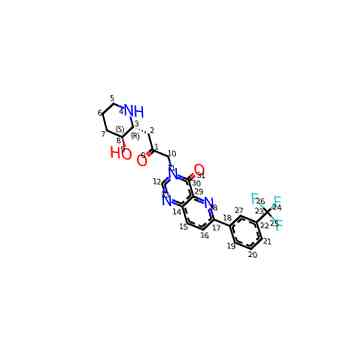 O=C(C[C@H]1NCCC[C@@H]1O)Cn1cnc2ccc(-c3cccc(C(F)(F)F)c3)nc2c1=O